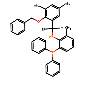 CCC(CC)(Pc1c(C)cccc1P(c1ccccc1)c1ccccc1)c1cc(C(C)(C)C)cc(C(C)(C)C)c1OCc1ccccc1